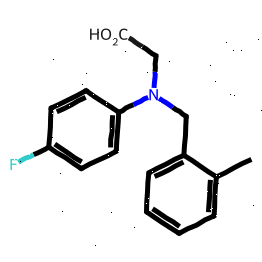 Cc1ccccc1CN(CC(=O)O)c1ccc(F)cc1